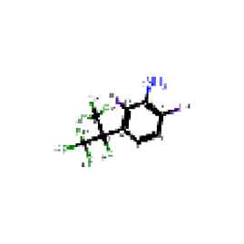 Nc1c(I)ccc(C(F)(C(F)(F)F)C(F)(F)F)c1I